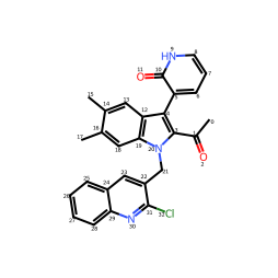 CC(=O)c1c(-c2ccc[nH]c2=O)c2cc(C)c(C)cc2n1Cc1cc2ccccc2nc1Cl